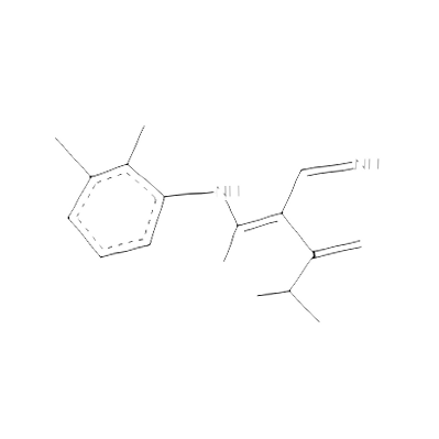 C=C(/C(C=N)=C(\C)Nc1cccc(C)c1C)C(C)C